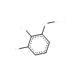 CCCCCCOc1cccc(C=O)c1O